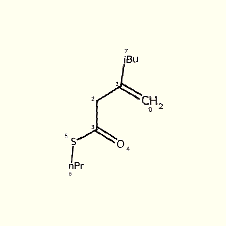 C=C(CC(=O)SCCC)C(C)CC